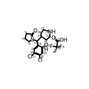 O=C(O)C(F)(F)F.O=C1CCCN1C(c1cc(Cl)c(Cl)cc1O)C1CCNCC1